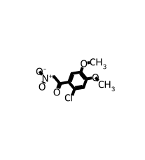 COc1cc(Cl)c(C(=O)C[N+](=O)[O-])cc1OC